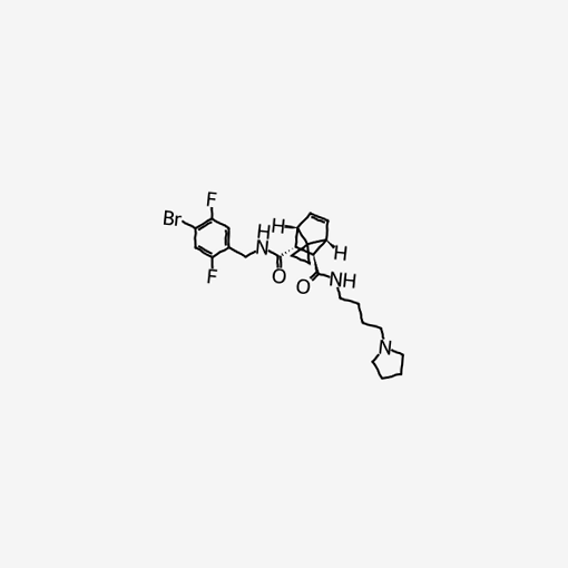 O=C(NCCCCN1CCCC1)[C@H]1[C@H](C(=O)NCc2cc(F)c(Br)cc2F)[C@@H]2C=C[C@H]1C21CC1